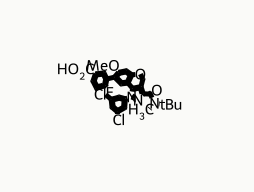 COc1cc2c(cc1-c1cc(C(=O)O)ccc1F)-c1c(c(C(=O)N(C)C(C)(C)C)nn1-c1cc(Cl)cc(Cl)c1)CO2